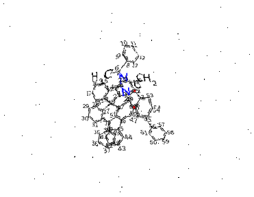 C=C=C(/N=C(\N=C(/C)c1ccccc1)c1ccccc1C1(c2ccccc2)c2ccccc2C2(c3ccccc3)c3ccccc3-c3cccc1c32)c1ccc(-c2ccccc2)cc1